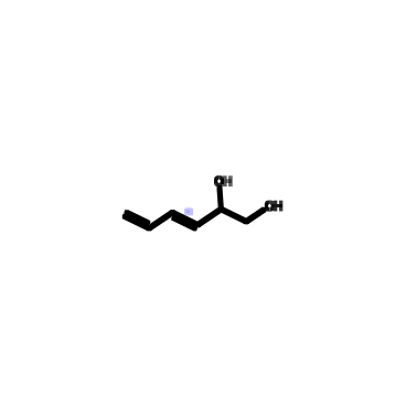 C=C/C=C/C(O)CO